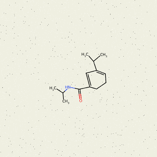 CC(C)NC(=O)C1=CC(C(C)C)=CCC1